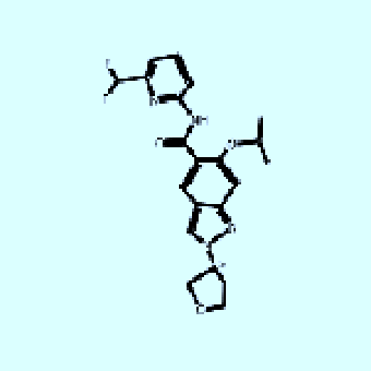 CC(C)Oc1cc2nn([C@H]3CCOC3)cc2cc1C(=O)Nc1cccc(C(F)F)n1